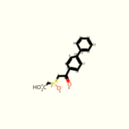 O=C(O)C[S+]([O-])CC(=O)c1ccc(-c2ccccc2)cc1